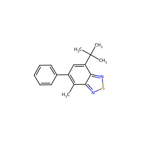 Cc1c(-c2ccccc2)cc(C(C)(C)C)c2nsnc12